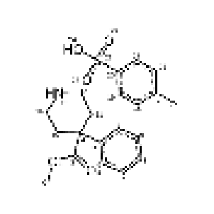 COC(=O)C1(c2ccccc2)CCNCC1.Cc1ccc(S(=O)(=O)O)cc1